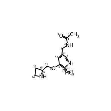 CC(=O)NCc1cncc(OC[C@@H]2CCN2)c1.Cl.Cl